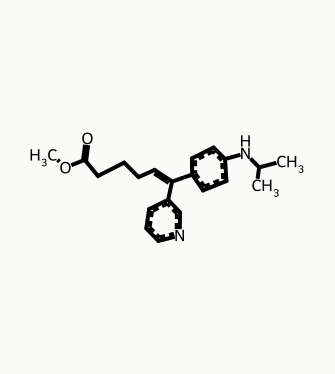 COC(=O)CCC/C=C(/c1ccc(NC(C)C)cc1)c1cccnc1